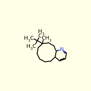 CC(C)(C)C1(C)CCCCCC2C=CC=NC2CC1